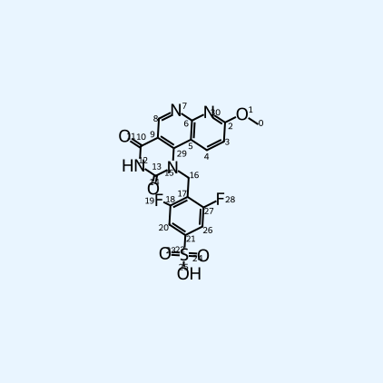 COc1ccc2c(ncc3c(=O)[nH]c(=O)n(Cc4c(F)cc(S(=O)(=O)O)cc4F)c32)n1